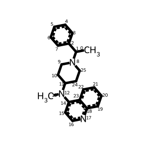 CC(c1ccccc1)N1CCC(N(C)c2ccnc3ccccc23)CC1